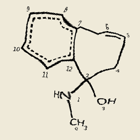 CNC1(O)CC=Cc2ccccc21